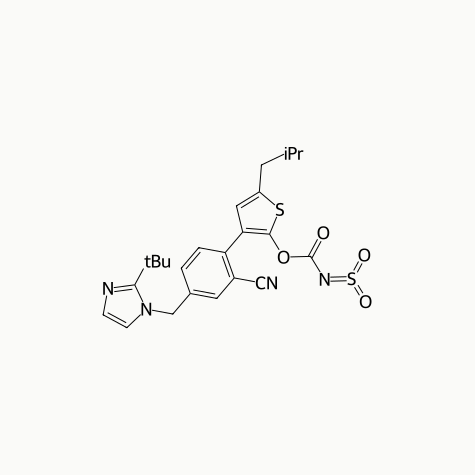 CC(C)Cc1cc(-c2ccc(Cn3ccnc3C(C)(C)C)cc2C#N)c(OC(=O)N=S(=O)=O)s1